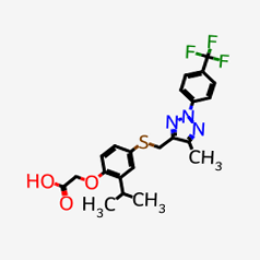 Cc1nn(-c2ccc(C(F)(F)F)cc2)nc1CSc1ccc(OCC(=O)O)c(C(C)C)c1